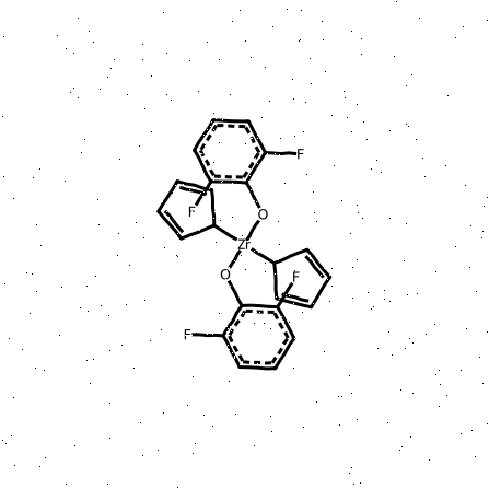 Fc1cccc(F)c1[O][Zr]([O]c1c(F)cccc1F)([CH]1C=CC=C1)[CH]1C=CC=C1